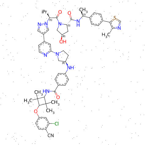 Cc1ncsc1-c1ccc([C@H](C)NC(=O)[C@@H]2C[C@@H](O)CN2C(=O)[C@H](C(C)C)n2cc(-c3ccnc(N4CC[C@@H](Nc5ccc(C(=O)NC6C(C)(C)C(Oc7ccc(C#N)c(Cl)c7)C6(C)C)cc5)C4)c3)cn2)cc1